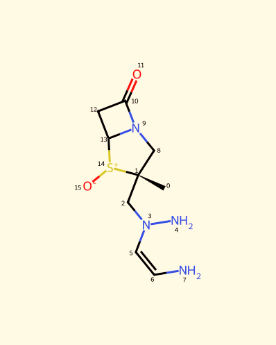 C[C@]1(CN(N)/C=C\N)CN2C(=O)CC2[S+]1[O-]